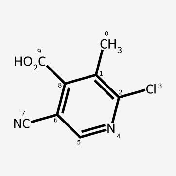 Cc1c(Cl)ncc(C#N)c1C(=O)O